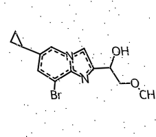 COCC(O)c1cn2cc(C3CC3)cc(Br)c2n1